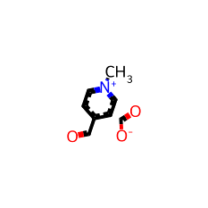 C[n+]1ccc(C=O)cc1.O=C[O-]